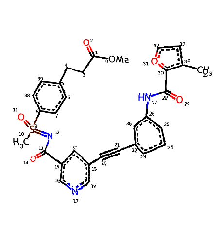 COC(=O)CCc1ccc(S(C)(=O)=NC(=O)c2cncc(C#Cc3cccc(NC(=O)c4occc4C)c3)c2)cc1